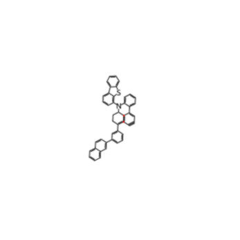 c1ccc(-c2ccccc2N(c2cccc3c2sc2ccccc23)C2CC=C(c3cccc(-c4ccc5ccccc5c4)c3)CC2)cc#1